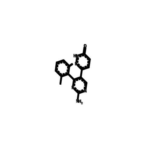 Cc1cccc(C)c1-c1nc(N)ncc1-c1ccc(=O)[nH]n1